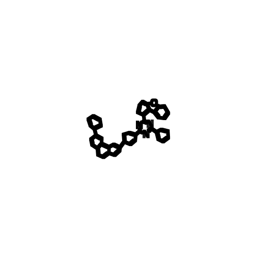 c1ccc(-c2ccc3ccc4ccc(-c5ccc(-c6nc(-c7ccccc7)nc(-c7cccc8oc9ccccc9c78)n6)cc5)cc4c3c2)cc1